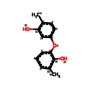 Cc1ccc(Oc2cccc(C)c2O)cc1O